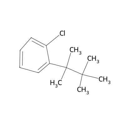 CC(C)(C)C(C)(C)c1ccccc1Cl